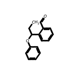 CCC(Oc1ccccc1)c1ccccc1C=O